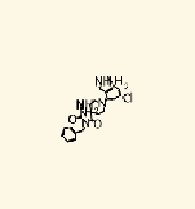 N=Cc1c(N)cc(Cl)cc1N1CCC2(CC1)C(=O)N(Cc1ccccc1)C(=O)N2N